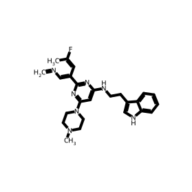 C=N/C=C(\C=C(/C)F)c1nc(NCCc2c[nH]c3ccccc23)cc(N2CCN(C)CC2)n1